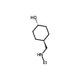 CCNC[C@H]1CC[C@H](O)CC1